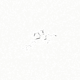 C=CCCC(C(=O)NC)c1coc2ccc(CCCCCC)cc12